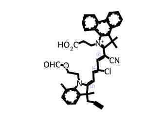 C#CCC1(C)/C(=C/C=C(Cl)/C=C(\C#N)C2=[N+](CCC(=O)O)c3c(c4ccccc4c4ccccc34)C2(C)C)N(CCOC=O)c2c(C)cccc21